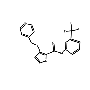 O=C(Nc1cccc(C(F)(F)F)c1)c1sccc1SCc1ccncc1